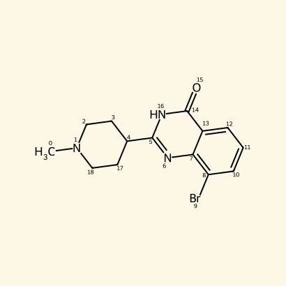 CN1CCC(c2nc3c(Br)cccc3c(=O)[nH]2)CC1